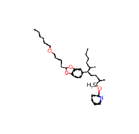 CCCCCCOCCCCC1Oc2ccc(C(CCC(C)[SiH2]Oc3ccccn3)C(C)CCCC)cc2O1